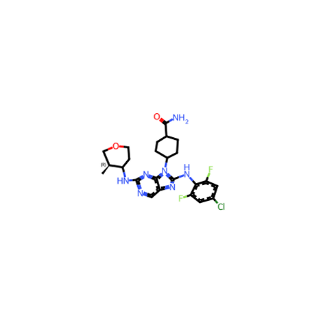 C[C@H]1COCCC1Nc1ncc2nc(Nc3c(F)cc(Cl)cc3F)n(C3CCC(C(N)=O)CC3)c2n1